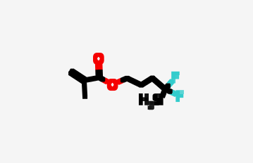 C=C(C)C(=O)OCCCC(F)(F)[SiH3]